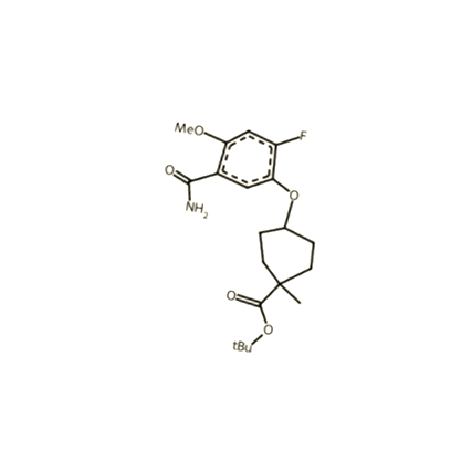 COc1cc(F)c(OC2CCC(C)(C(=O)OC(C)(C)C)CC2)cc1C(N)=O